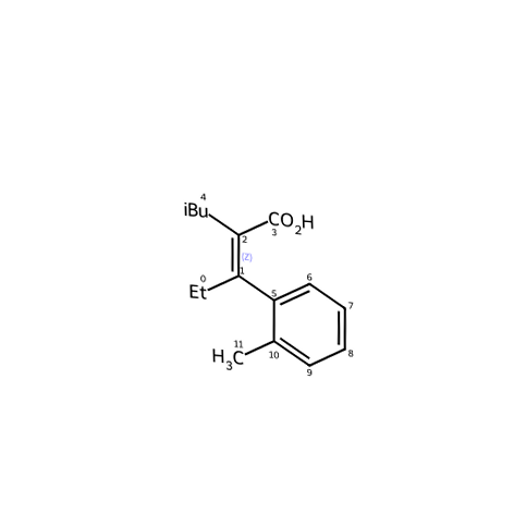 CC/C(=C(/C(=O)O)C(C)CC)c1ccccc1C